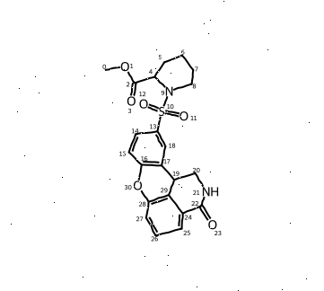 COC(=O)C1CCCCN1S(=O)(=O)c1ccc2c(c1)C1CNC(=O)c3cccc(c31)O2